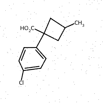 CC1CC(C(=O)O)(c2ccc(Cl)cc2)C1